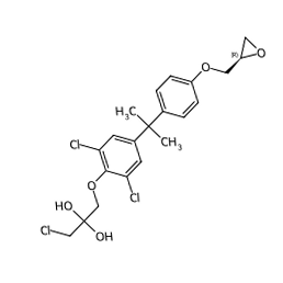 CC(C)(c1ccc(OC[C@H]2CO2)cc1)c1cc(Cl)c(OCC(O)(O)CCl)c(Cl)c1